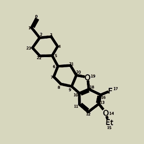 C=CC1CCC(C2CCC3c4ccc(OCC)c(F)c4OC3C2)CC1